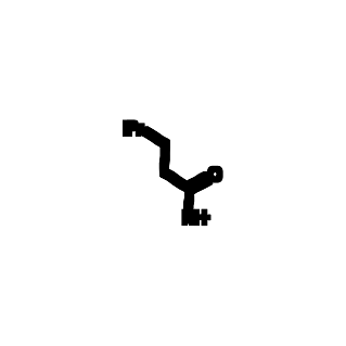 CC(C)CCC([NH])=O